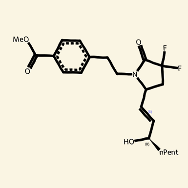 CCCCC[C@@H](O)/C=C/C1CC(F)(F)C(=O)N1CCc1ccc(C(=O)OC)cc1